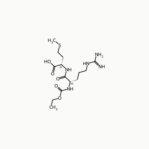 CCOC(=O)N[C@@H](CCCNC(=N)N)C(=O)N[C@@H](CCSC)C(=O)O